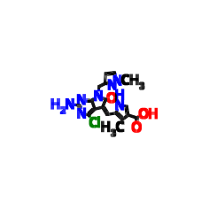 Cc1c(C(=O)O)c[nH]c1/C=C1\C(=O)N(Cc2ccn(C)n2)c2nc(N)nc(Cl)c21